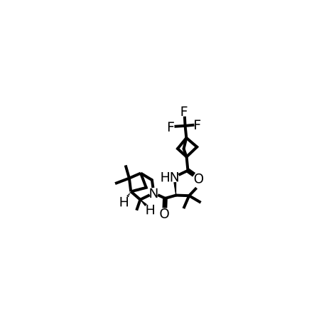 C[C@@H]1[C@@H]2CC(CN1C(=O)[C@@H](NC(=O)C13CC(C(F)(F)F)(C1)C3)C(C)(C)C)C2(C)C